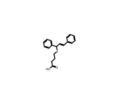 O=C(O)CCCSC(C=Cc1ccccc1)c1ccccc1